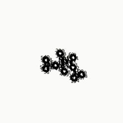 C1=CCC(N(c2ccc(-n3c4ccccc4c4ccccc43)cc2)c2nc(-c3ccccc3)nc(N(c3ccccc3)c3ccc(-n4c5ccccc5c5ccccc54)cc3)n2)C=C1